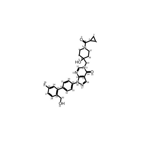 O=C(C1CC1)N1CCC(O)(Cn2cnc3c(cnn3-c3ccc(-c4cc(F)ccc4CO)cc3)c2=O)CC1